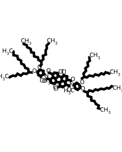 CCCCCCCCCCC(CCCCCCCC)COc1cc(C)c(N2C(=O)c3cc(Cl)c4c5c(Cl)cc6c7c(cc(Cl)c(c8c(Cl)cc(c3c48)C2=O)c75)C(=O)N(c2cc(OCC(CCCCCCCC)CCCCCCCCCC)c(OCC(CCCCCCCC)CCCCCCCCCC)cc2C)C6=O)cc1OCC(CCCCCCCC)CCCCCCCCCC